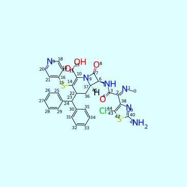 CN=C(C(=O)N[C@@H]1C(=O)N2C(C(=O)O)=C(Sc3ccncc3)C(C(c3ccccc3)c3ccccc3)C[C@H]12)c1nc(N)sc1Cl